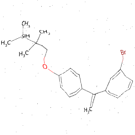 C=C(c1ccc(OCC(C)(C)[SiH](C)C)cc1)c1cccc(Br)c1